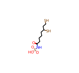 O=C(CCCCC(S)CCS)NS(=O)(=O)O